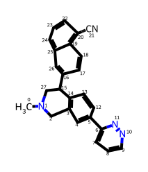 CN1Cc2cc(-c3cccnn3)ccc2C(c2ccc3c(C#N)cccc3c2)C1